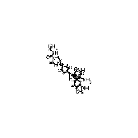 CCNC(=O)N1CCN(c2ccc(NC34N=CC(C)=C(NO3)N4c3ccc4c(c3)NCO4)cc2)CC1